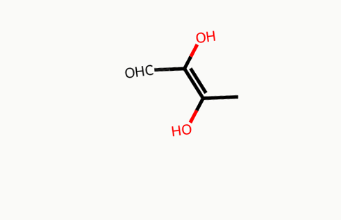 CC(O)=C(O)C=O